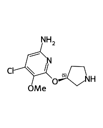 COc1c(Cl)cc(N)nc1O[C@H]1CCNC1